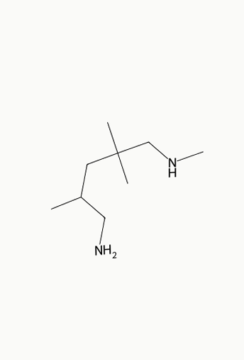 CNCC(C)(C)CC(C)CN